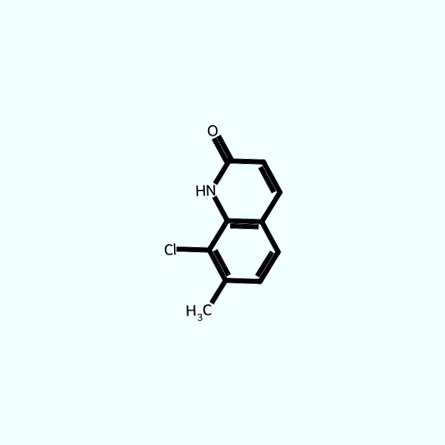 Cc1ccc2ccc(=O)[nH]c2c1Cl